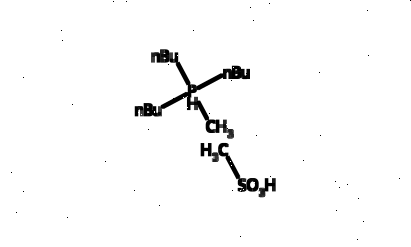 CCCC[PH](C)(CCCC)CCCC.CS(=O)(=O)O